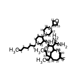 CCCCCCN1CCC(N2CCN(C3COC3)CC2)C(NC(=O)C(C(N)N)C2CC(CC)(CCC)CCC(F)=C=N2)C1